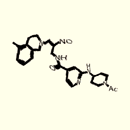 CC(=O)N1CCC(Nc2cc(C(=O)NCC(CN3CCc4c(C)cccc4C3)N=O)ccn2)CC1